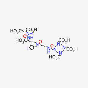 O=C(O)CCC(NC(=O)N[C@@H](CCCCN(Cc1ccc(I)cc1)C(=O)CCCCNC(=O)CN1CCN(CC(=O)O)CCN(CC(=O)O)CCN(CC(=O)O)CC1)C(=O)O)C(=O)O